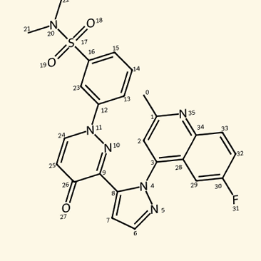 Cc1cc(-n2nccc2-c2nn(-c3cccc(S(=O)(=O)N(C)C)c3)ccc2=O)c2cc(F)ccc2n1